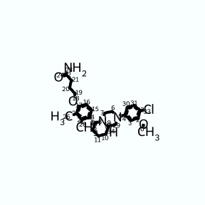 COc1cc(N2CCN3[C@@H](CCC[C@@H]3c3ccc(OCCCC(N)=O)c(C)c3C)C2)ccc1Cl